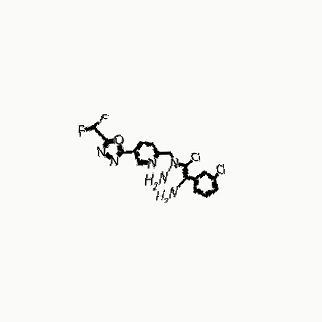 N/C(=C(/Cl)N(N)Cc1ccc(-c2nnc(C(F)F)o2)cn1)c1cccc(Cl)c1